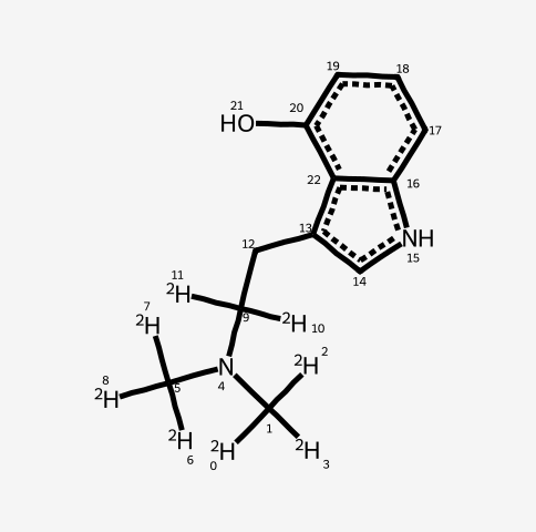 [2H]C([2H])([2H])N(C([2H])([2H])[2H])C([2H])([2H])Cc1c[nH]c2cccc(O)c12